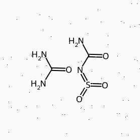 NC(=O)N=S(=O)=O.NC(N)=O